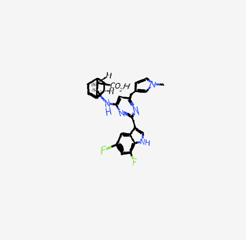 Cn1ccc(-c2cc(N[C@H]3C4CCC(CC4)[C@@H]3C(=O)O)nc(-c3c[nH]c4c(F)cc(F)cc34)n2)c1